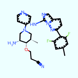 Cc1cc(F)c(-c2ccc3cnc(Nc4cnccc4N4C[C@@H](N)[C@@H](OCCC#N)[C@@H](C)C4)n3n2)c(F)c1